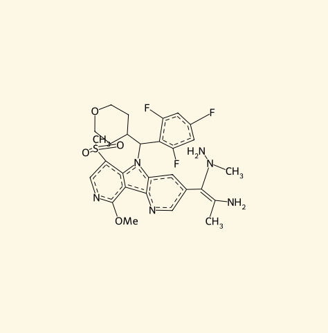 COc1ncc(S(C)(=O)=O)c2c1c1ncc(/C(=C(\C)N)N(C)N)cc1n2C(c1c(F)cc(F)cc1F)C1CCOCC1